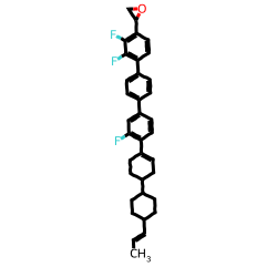 C/C=C/C1CCC(C2CC=C(c3ccc(-c4ccc(-c5ccc(C6CO6)c(F)c5F)cc4)cc3F)CC2)CC1